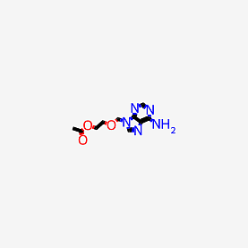 CC(=O)OCCOCn1cnc2c(N)ncnc21